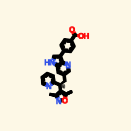 Cc1noc(C)c1[C@H](Cc1cnc2c(-c3ccc(C(=O)O)cc3)c[nH]c2c1)c1ccccn1